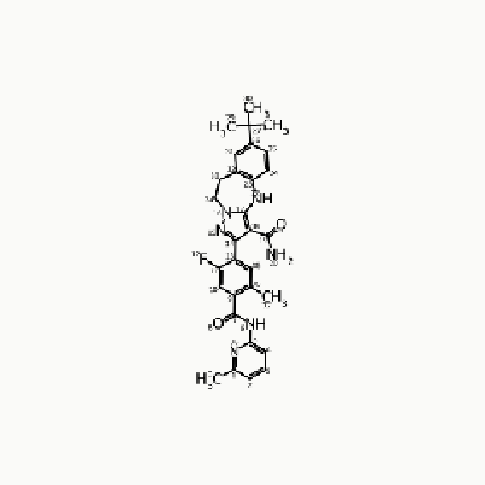 Cc1cccc(NC(=O)c2cc(F)c(-c3nn4c(c3C(N)=O)Nc3ccc(C(C)(C)C)cc3CC4)cc2C)n1